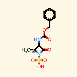 C[C@H]1C(NC(=O)OCc2ccccc2)C(=O)N1S(=O)(=O)O